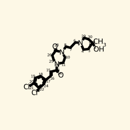 CC1(O)CCN(CCCN2CCN(C(=O)/C=C/c3ccc(Cl)c(Cl)c3)CCC2=O)CC1